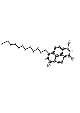 CCCCCCCCCCCCc1cc(Br)c2ccc3c(Br)cc(Br)c4ccc1c2c34